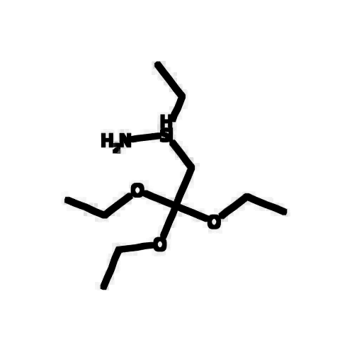 CCOC(C[SiH](N)CC)(OCC)OCC